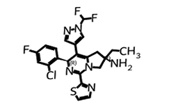 CC[C@@]1(N)CC2=C(c3cnn(C(F)F)c3)[C@H](c3ccc(F)cc3Cl)N=C(c3nccs3)N2C1